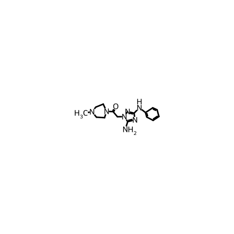 CN1CCN(C(=O)Cn2nc(Nc3ccccc3)nc2N)CC1